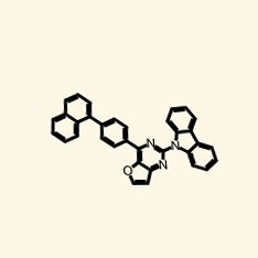 c1ccc2c(-c3ccc(-c4nc(-n5c6ccccc6c6ccccc65)nc5ccoc45)cc3)cccc2c1